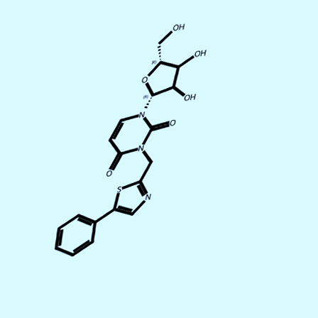 O=c1ccn([C@@H]2O[C@H](CO)C(O)C2O)c(=O)n1Cc1ncc(-c2ccccc2)s1